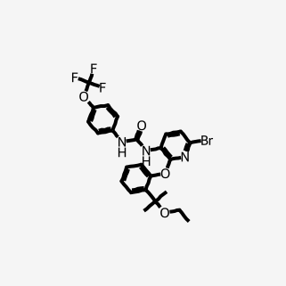 CCOC(C)(C)c1ccccc1Oc1nc(Br)ccc1NC(=O)Nc1ccc(OC(F)(F)F)cc1